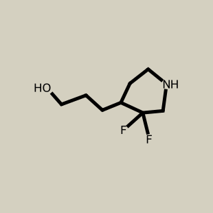 OCCCC1CCNCC1(F)F